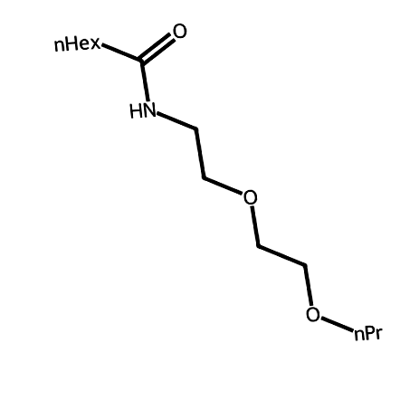 CCCCCCC(=O)NCCOCCOCCC